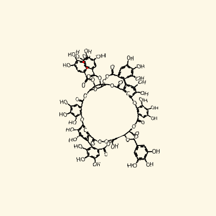 O=CC1OC(=O)c2cc(O)c(O)c(O)c2Oc2cc3c(c(O)c2O)-c2c(cc(O)c(O)c2O)C(=O)OCC2OC(OC(=O)c4cc(O)c(O)c(O)c4Oc4cc5c(c(O)c4O)-c4c(cc(O)c(O)c4O)C(=O)OC(C(O)COC5=O)C1OC(=O)c1cc(O)c(O)c(O)c1)C(OC(=O)c1cc(O)c(O)c(O)c1)C(OC(=O)c1cc(O)c(O)c(O)c1)C2OC3=O